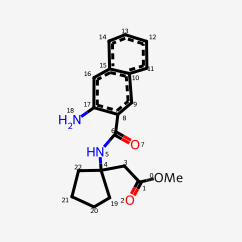 COC(=O)CC1(NC(=O)c2cc3ccccc3cc2N)CCCC1